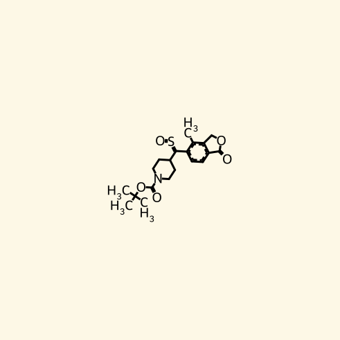 Cc1c(C(=S=O)C2CCN(C(=O)OC(C)(C)C)CC2)ccc2c1COC2=O